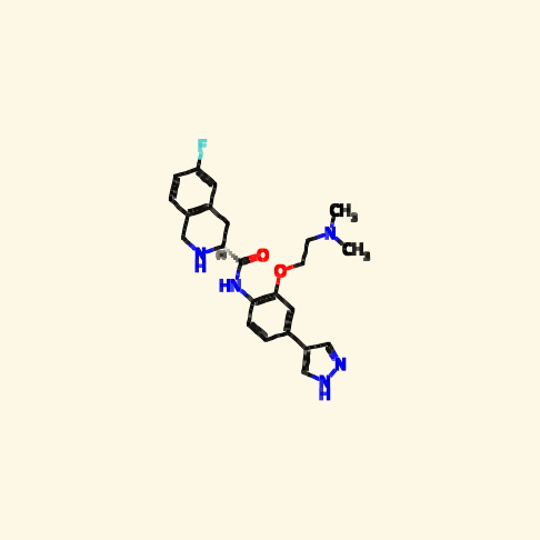 CN(C)CCOc1cc(-c2cn[nH]c2)ccc1NC(=O)[C@H]1Cc2cc(F)ccc2CN1